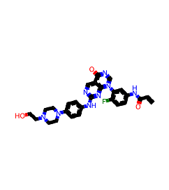 C=CC(=O)Nc1ccc(F)c(-n2cnc(=O)c3cnc(Nc4ccc(N5CCN(CCO)CC5)cc4)nc32)c1